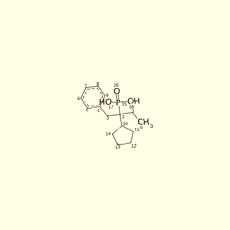 CCC(Cc1ccccc1)(C1CCCC1)P(=O)(O)O